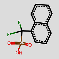 O=S(=O)(O)C(F)(F)c1cccc2ccccc12